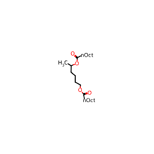 CCCCCCCCC(=O)OCCCCC(C)OC(=O)CCCCCCCC